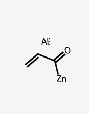 C=C[C](=O)[Zn].[Al]